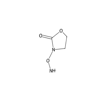 [NH]ON1CCOC1=O